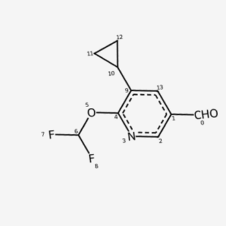 O=Cc1cnc(OC(F)F)c(C2CC2)c1